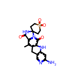 Cc1c2c(c(=O)n3c1C(=O)NC31CCS(=O)(=O)CC1)Nc1cc(N)ncc1C2